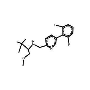 COCC(NCc1ccc(-c2c(F)cccc2F)cn1)C(C)(C)C